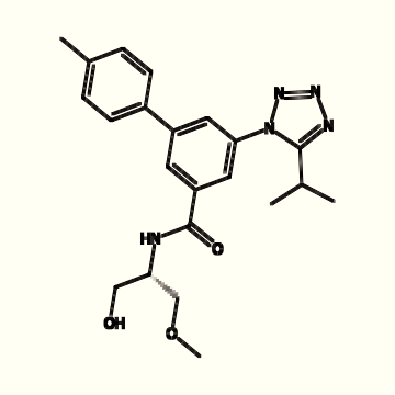 COC[C@H](CO)NC(=O)c1cc(-c2ccc(C)cc2)cc(-n2nnnc2C(C)C)c1